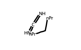 CCCCCCC.N=C=N